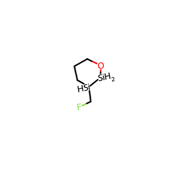 FC[SiH]1CCCO[SiH2]1